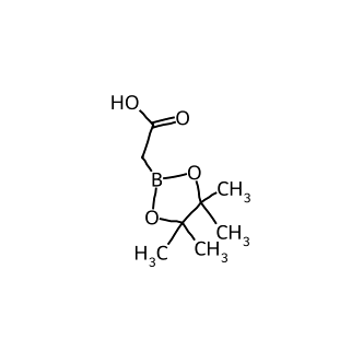 CC1(C)OB(CC(=O)O)OC1(C)C